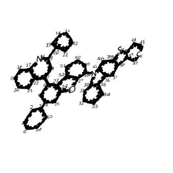 c1ccc(-c2cc(-c3cc(-c4ccccc4)nc4ccccc34)c3c(c2)oc2c(-n4c5ccccc5c5cc6c(cc54)sc4ccccc46)cccc23)cc1